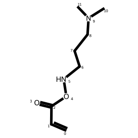 C=CC(=O)ONCCCN(C)C